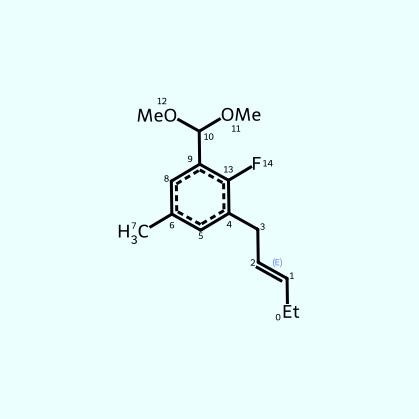 CC/C=C/Cc1cc(C)cc(C(OC)OC)c1F